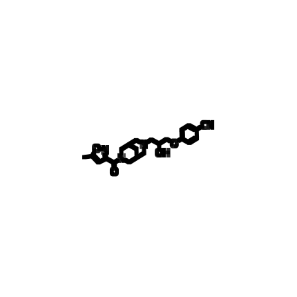 Cc1cc(C(=O)N2CC3CC(CN(CC(O)COc4ccc(C#N)cc4)C3)C2)no1